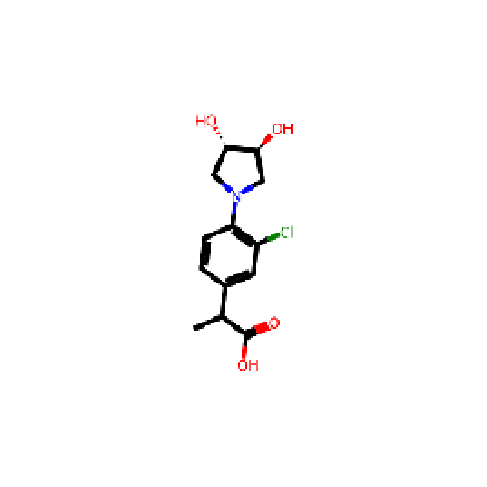 CC(C(=O)O)c1ccc(N2C[C@H](O)[C@@H](O)C2)c(Cl)c1